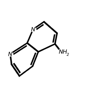 Nc1ccnc2ncccc12